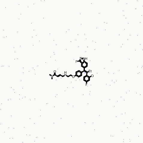 CC/C(=C(/c1ccc(OCCNCC=CC(=O)N(C)C)cc1)c1ccc2[nH]nc(F)c2c1)c1ccc(F)cc1Cl